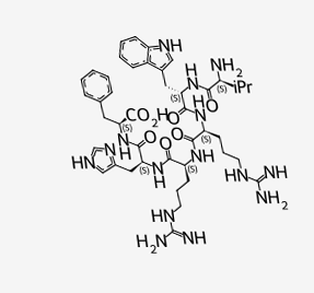 CC(C)[C@H](N)C(=O)N[C@@H](Cc1c[nH]c2ccccc12)C(=O)N[C@@H](CCCNC(=N)N)C(=O)N[C@@H](CCCNC(=N)N)C(=O)N[C@@H](Cc1c[nH]cn1)C(=O)N[C@@H](Cc1ccccc1)C(=O)O